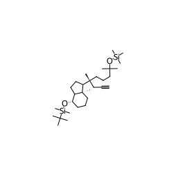 C#CC[C@@](C)(CCCC(C)(C)O[Si](C)(C)C)C1CCC2[C@@H](O[Si](C)(C)C(C)(C)C)CCC[C@@]21C